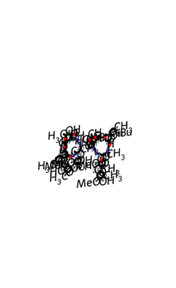 CC[C@H](C)[C@H]1O[C@]2(C=C[C@@H]1C)C[C@@H]1C[C@@H](C/C=C(\C)[C@@H](O[C@H]3C[C@H](OC)[C@@H](O[C@H]4C[C@H](OC)[C@@H](O)[C@H](C)O4)[C@H](C)O3)[C@@H](C)/C=C/C=C3\CO[C@@H]4[C@H](O)C(C)=C[C@@H](C(=O)O1)[C@]34O)O2.CO[C@H]1C[C@H](O[C@H]2[C@H](C)O[C@@H](O[C@@H]3/C(C)=C/C[C@@H]4C[C@@H](C[C@]5(C=C[C@H](C)[C@@H](C(C)C)O5)O4)OC(=O)[C@@H]4C=C(C)[C@@H](O)[C@H]5OC/C(=C/C=C/[C@@H]3C)[C@]54O)C[C@@H]2OC)O[C@@H](C)[C@@H]1O